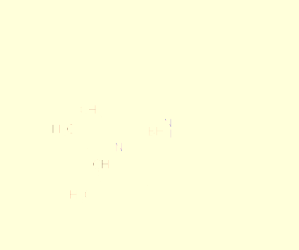 CC(C)C1c2ccccc2-c2cc(-c3cc4ccccc4cc3Nc3ccc(-c4ccccc4)cc3)c3c(c21)N1c2ccccc2C(C)(C)c2cccc(c21)B3